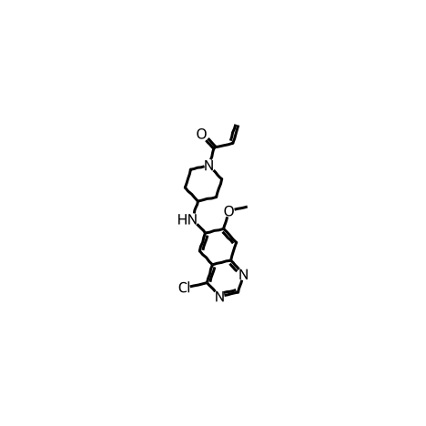 C=CC(=O)N1CCC(Nc2cc3c(Cl)ncnc3cc2OC)CC1